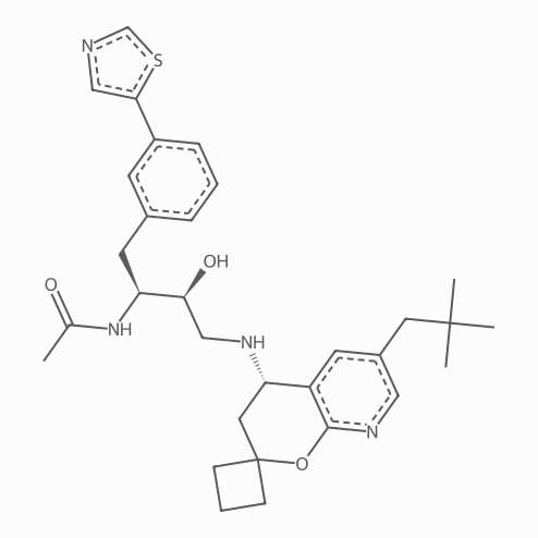 CC(=O)N[C@@H](Cc1cccc(-c2cncs2)c1)[C@@H](O)CN[C@H]1CC2(CCC2)Oc2ncc(CC(C)(C)C)cc21